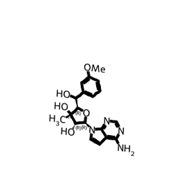 COc1cccc(C(O)[C@H]2O[C@@H](n3ccc4c(N)ncnc43)[C@H](O)[C@]2(C)O)c1